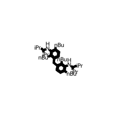 CCCCc1ccc(Cc2ccc(CCCC)c(NC(C(C)C)C(C)C)c2CCCC)c(CCCC)c1NC(C(C)C)C(C)C